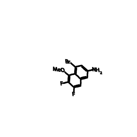 COc1c(F)c(F)cc2cc(N)cc(Br)c12